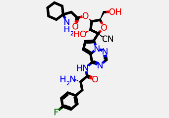 N#C[C@@]1(c2ccc3c(NC(=O)[C@@H](N)Cc4ccc(F)cc4)ncnn23)O[C@H](CO)[C@@H](OC(=O)CC2(N)CCCCC2)[C@H]1O